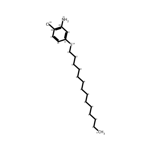 CCCCCCCCCCCCCCSc1ccc(Cl)c(N)c1